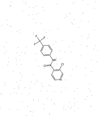 O=C(Nc1ccc(C(F)(F)F)cc1)c1ccncc1Cl